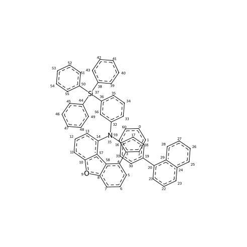 c1ccc(-c2cccc3oc4cccc(N(c5ccc(-c6cccc7ccccc67)cc5)c5cccc([Si](c6ccccc6)(c6ccccc6)c6ccccc6)c5)c4c23)cc1